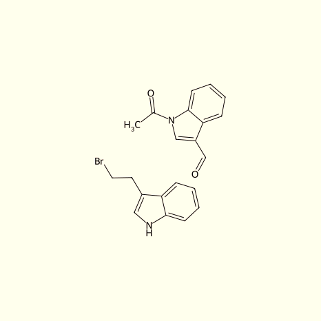 BrCCc1c[nH]c2ccccc12.CC(=O)n1cc(C=O)c2ccccc21